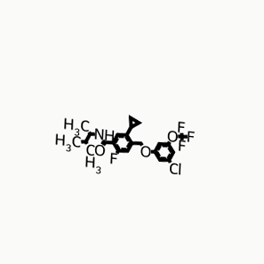 CC(C)C(C)NC(=O)c1cc(C2CC2)c(COc2cc(Cl)cc(OC(F)(F)F)c2)cc1F